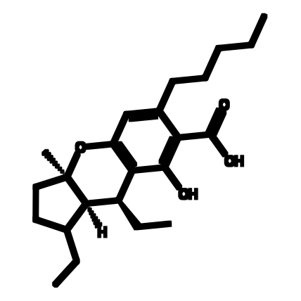 CCCCCc1cc2c(c(O)c1C(=O)O)[C@@H](CC)[C@H]1C(CC)CC[C@@]1(C)O2